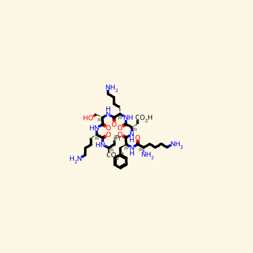 CC(C)C[C@H](NC(=O)[C@H](CCCCN)NC(=O)[C@H](CO)NC(=O)[C@H](CCCCN)NC(=O)[C@H](CC(=O)O)NC(=O)[C@H](Cc1ccccc1)NC(=O)[C@@H](N)CCCCN)C(=O)O